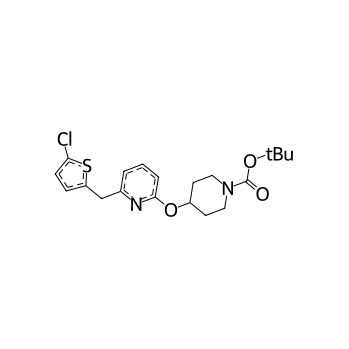 CC(C)(C)OC(=O)N1CCC(Oc2cccc(Cc3ccc(Cl)s3)n2)CC1